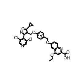 CCOc1cc(C(=O)O)nc2ccc(OCC34CCC(OCc5c(-c6c(Cl)cncc6Cl)noc5C5CC5)(CC3)CC4)cc12